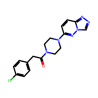 O=C(Cc1ccc(Cl)cc1)N1CCN(c2ccc3nncn3n2)CC1